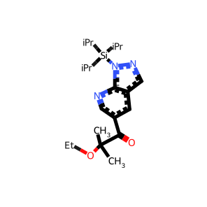 CCOC(C)(C)C(=O)c1cnc2c(cnn2[Si](C(C)C)(C(C)C)C(C)C)c1